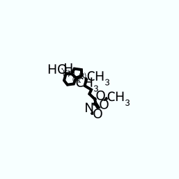 CC(=O)OC(CCCC(C)[C@H]1CC[C@H]2[C@@H](O)CCC[C@]12C)c1cocn1